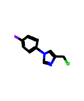 ClCc1cn(-c2ccc(I)cc2)cn1